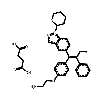 CC/C(=C(/c1ccc(OCCN)cc1)c1ccc2c(cnn2C2CCCCO2)c1)c1ccccc1.O=C(O)CCC(=O)O